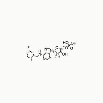 Cc1ccc(F)cc1CNc1ncnc2c1ncn2[C@@H]1O[C@H](COP(=O)(O)O)[C@@H](O)[C@H]1O